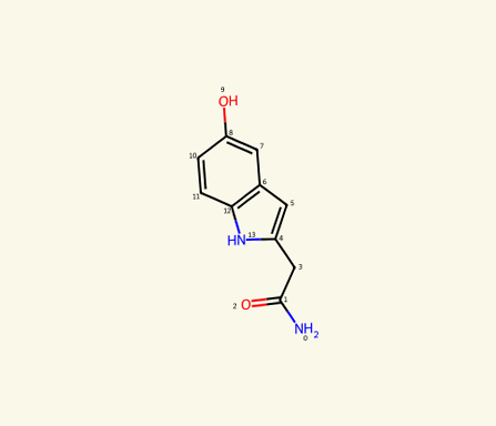 NC(=O)Cc1cc2cc(O)ccc2[nH]1